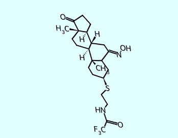 C[C@]12CC[C@H](SCCNC(=O)C(F)(F)F)CC1/C(=N/O)C[C@@H]1[C@@H]2CC[C@]2(C)C(=O)CC[C@@H]12